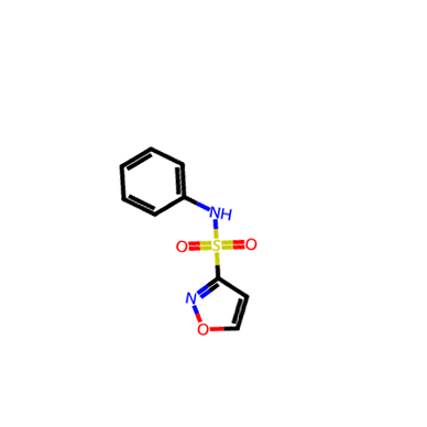 O=S(=O)(Nc1ccccc1)c1ccon1